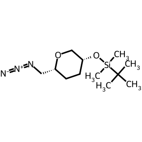 CC(C)(C)[Si](C)(C)O[C@@H]1CC[C@H](CN=[N+]=[N-])OC1